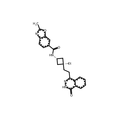 CC[C@]1(CCc2n[nH]c(=O)c3ccccc23)C[C@H](NC(=O)c2ccc3nc(C)oc3c2)C1